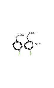 O=C([O-])Cc1ccc(F)cc1.O=C([O-])Cc1ccc(F)cc1.[Sn+2]